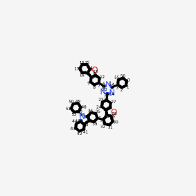 c1ccc(-c2nc(-c3ccc4c(c3)oc3ccccc34)nc(-c3ccc4c(c3)oc3cccc(-c5ccc6c(c5)c5ccccc5n6-c5ccccc5)c34)n2)cc1